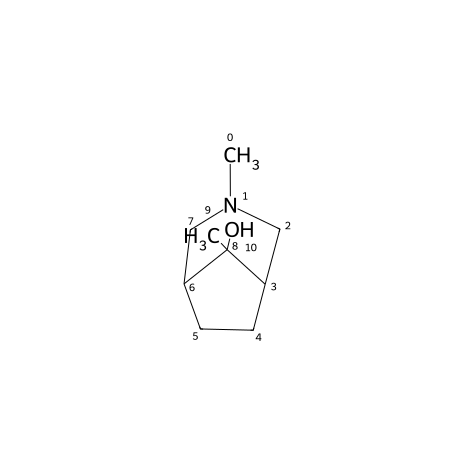 CN1CC2CCC(C1)C2(C)O